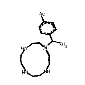 CC(=O)c1ccc(C(C)N2CCNCCNCCNCC2)cc1